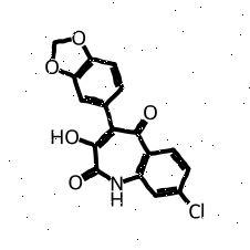 O=c1[nH]c2cc(Cl)ccc2c(=O)c(-c2ccc3c(c2)OCO3)c1O